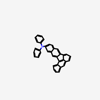 c1ccc(N(c2ccccc2)c2ccc3cc4c(cc3c2)-c2c3ccccc3cc3cccc-4c23)cc1